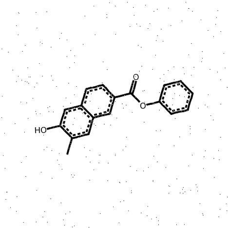 Cc1cc2cc(C(=O)Oc3ccccc3)ccc2cc1O